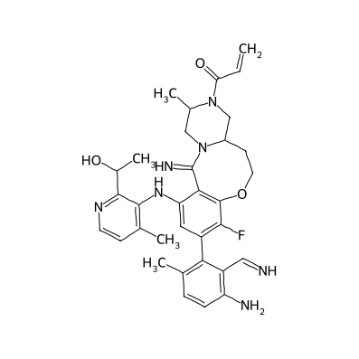 C=CC(=O)N1CC2CCOc3c(F)c(-c4c(C)ccc(N)c4C=N)cc(Nc4c(C)ccnc4C(C)O)c3C(=N)N2CC1C